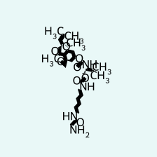 COC1CC(OC(=O)N[C@@H](COC(=O)NCCCCCCNC(=O)CN)C(C)C)C[C@]2(CO2)C1[C@@]1(C)O[C@@H]1CC=C(C)C